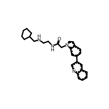 O=C(Cn1ccc2ccc(-c3cnc4ccccc4c3)cc21)NCCNCC1CCCCC1